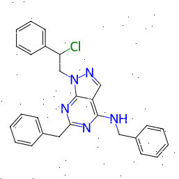 ClC(Cn1ncc2c(NCc3ccccc3)nc(Cc3ccccc3)nc21)c1ccccc1